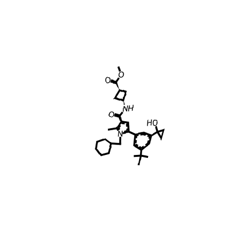 COC(=O)[C@H]1C[C@H](NC(=O)c2cc(-c3cc(C(C)(C)C)cc(C4(O)CC4)c3)n(CC3CCCCC3)c2C)C1